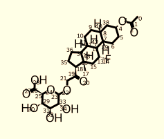 CC(=O)O[C@@H]1CC[C@H]2[C@H](CC[C@@H]3[C@@H]2[C@H](F)C[C@]2(C)[C@@H](C(=O)COC4O[C@H](C(=O)O)[C@@H](O)[C@H](O)[C@H]4O)CC[C@@H]32)C1